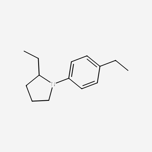 CCc1ccc(N2CCCC2CC)cc1